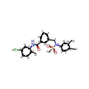 Cc1ccc(N(Cc2cccc(C(=O)Nc3cc(F)ccc3C)c2)S(C)(=O)=O)cc1C